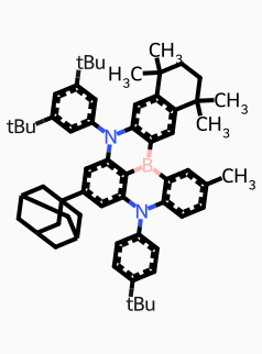 Cc1ccc2c(c1)B1c3cc4c(cc3N(c3cc(C(C)(C)C)cc(C(C)(C)C)c3)c3cc(C56CC7CC(CC(C7)C5)C6)cc(c31)N2c1ccc(C(C)(C)C)cc1)C(C)(C)CCC4(C)C